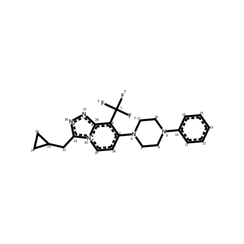 FC(F)(F)c1c(N2CCN(c3ccccc3)CC2)ccn2c(CC3CC3)nnc12